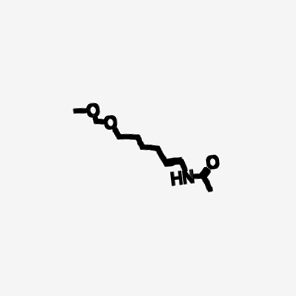 COCOCCCCC=CNC(C)=O